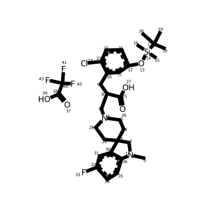 CN1CC2(CCN(CC(Cc3cc(O[Si](C)(C)C(C)(C)C)ccc3Cl)C(=O)O)CC2)c2cc(F)ccc21.O=C(O)C(F)(F)F